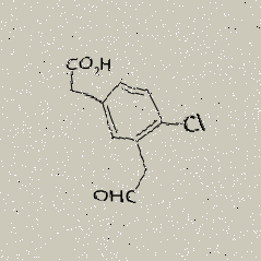 O=CCc1cc(CC(=O)O)ccc1Cl